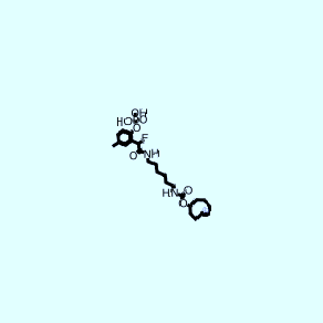 Cc1ccc(OP(=O)(O)O)c(C(F)C(=O)NCCCCCCNC(=O)OC2CC/C=C/CCC2)c1